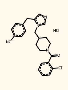 Cl.N#Cc1ccc(Cc2cncn2CC2CCN(C(=O)c3ccccc3Cl)CC2)cc1